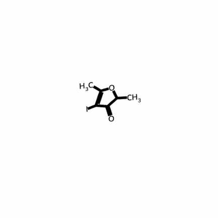 CC1=C(I)C(=O)C(C)O1